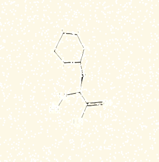 O=C(O)[C@H](CC1CCCCC1)NO